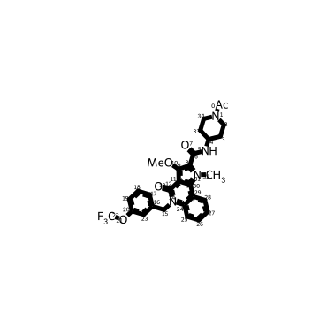 [CH2]C(=O)N1CCC(NC(=O)c2c(OC)c3c(=O)n(Cc4cccc(OC(F)(F)F)c4)c4ccccc4c3n2C)CC1